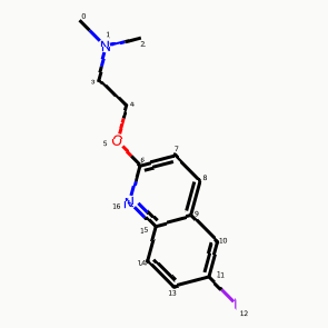 CN(C)CCOc1ccc2cc(I)ccc2n1